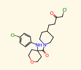 O=C(CCl)CCC1CCN(C(=O)C2(Nc3ccc(Cl)cc3)CCOCC2)CC1